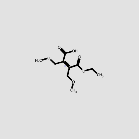 CCOC(=O)/C(COC)=C(/COC)C(=O)O